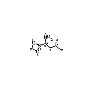 CC(C)C[C@H](N)B1OCO1